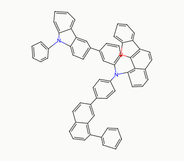 c1ccc(-c2cccc3ccc(-c4ccc(N(c5cccc(-c6ccc7c(c6)c6ccccc6n7-c6ccccc6)c5)c5cccc6ccc7c8ccccc8oc7c56)cc4)cc23)cc1